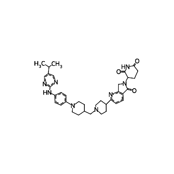 CC(C)c1cnc(Nc2ccc(N3CCC(CN4CCC(c5ccc6c(n5)CN(C5CCC(=O)NC5=O)C6=O)CC4)CC3)cc2)nc1